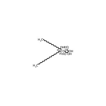 CCCCCCCCCCCCCCCCCCCC(=O)N[C@@H](CO[C@H]1O[C@H](CO)[C@H](O)[C@H](O)[C@H]1O)[C@@H](O)CCCCCCCCCCCCCCC